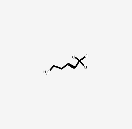 CCCC=CC(Cl)(Cl)Cl